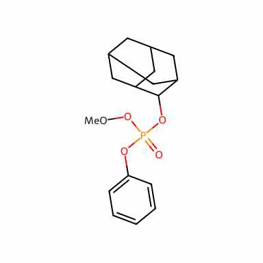 COOP(=O)(Oc1ccccc1)OC1C2CC3CC(C2)CC1C3